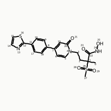 CC(CCn1ccc(-c2ccc(-c3nccs3)cc2)cc1=O)(C(=O)NO)S(C)(=O)=O